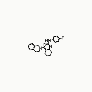 Fc1ccc(Nc2nc3c(c(N4CCc5ccccc5C4)n2)CCCC3)cc1